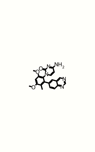 COc1cc(OC)c(-n2ccc(N)nc2=O)c(-c2ccc3ncncc3c2)c1C